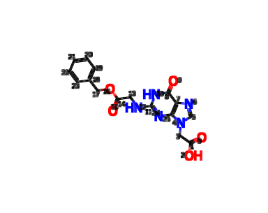 O=C(O)Cn1cnc2c(=O)[nH]c(NCC(=O)OCc3ccccc3)nc21